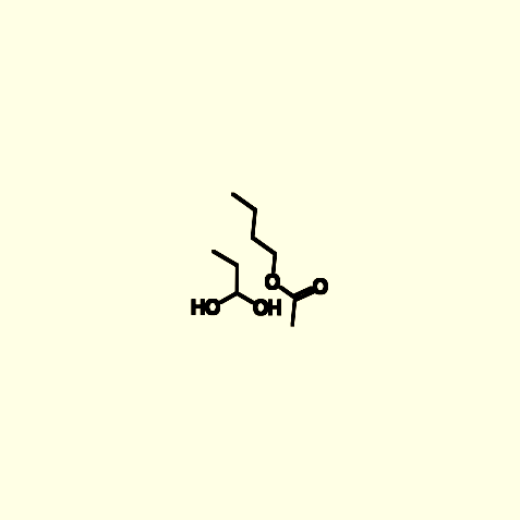 CCC(O)O.CCCCOC(C)=O